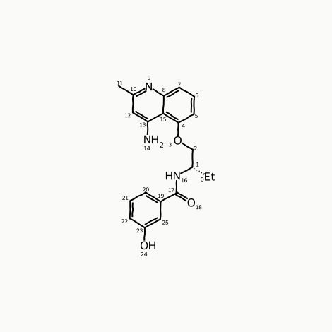 CC[C@@H](COc1cccc2nc(C)cc(N)c12)NC(=O)c1cccc(O)c1